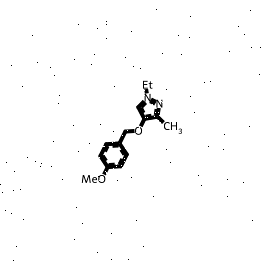 CCn1cc(OCc2ccc(OC)cc2)c(C)n1